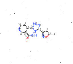 Cc1cc(-c2nnc3c4ccncc4c(=O)[nH]n23)no1